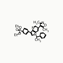 CCOP(=O)(OCC)c1ccc(-c2cn(C(C)c3ccccc3)c3cc(-c4c(C)noc4C)cnc23)cc1